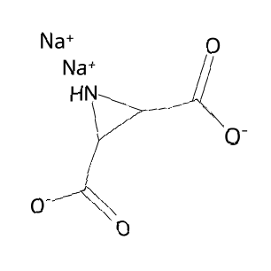 O=C([O-])C1NC1C(=O)[O-].[Na+].[Na+]